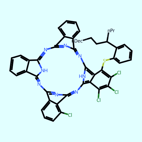 CCCCCCCCCCCCC(CCC)c1ccccc1Sc1c(Cl)c(Cl)c(Cl)c2c3nc4nc(nc5[nH]c(nc6nc(nc([nH]3)c12)-c1ccccc1-6)c1ccccc51)-c1cccc(Cl)c1-4